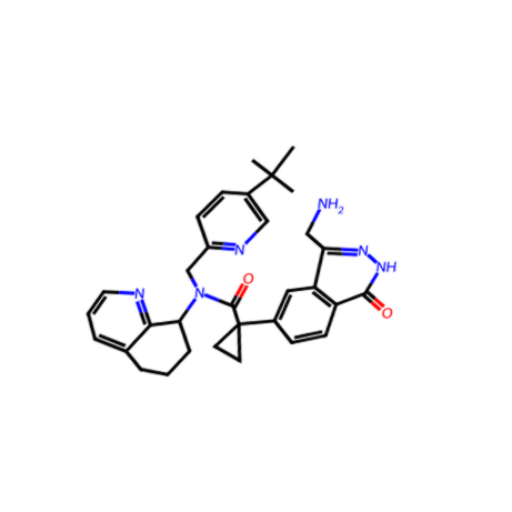 CC(C)(C)c1ccc(CN(C(=O)C2(c3ccc4c(=O)[nH]nc(CN)c4c3)CC2)C2CCCc3cccnc32)nc1